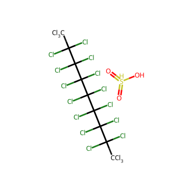 ClC(Cl)(Cl)C(Cl)(Cl)C(Cl)(Cl)C(Cl)(Cl)C(Cl)(Cl)C(Cl)(Cl)C(Cl)(Cl)C(Cl)(Cl)C(Cl)(Cl)Cl.O=[SH](=O)O